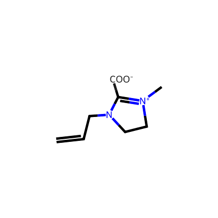 C=CCN1CC[N+](C)=C1C(=O)[O-]